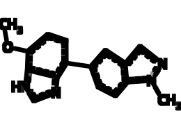 COc1ccc(-c2ccc3c(cnn3C)c2)c2nc[nH]c12